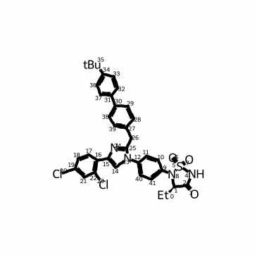 CC[C@@H]1C(=O)NS(=O)(=O)N1c1ccc(-n2cc(-c3ccc(Cl)cc3Cl)nc2Cc2ccc(-c3ccc(C(C)(C)C)cc3)cc2)cc1